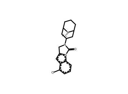 CN1C2CCCC1CC(N1Cc3cc4c(Cl)cccc4n3C1=O)C2